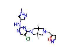 Cn1cc(Nc2ncc(Cl)c(N3CC4(C)CN(Cc5ccno5)CC4(C)C3)n2)cn1